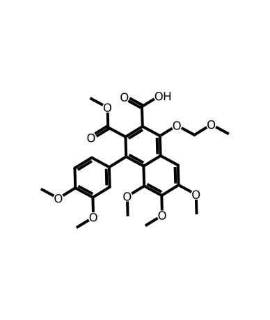 COCOc1c(C(=O)O)c(C(=O)OC)c(-c2ccc(OC)c(OC)c2)c2c(OC)c(OC)c(OC)cc12